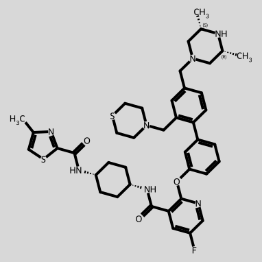 Cc1csc(C(=O)N[C@H]2CC[C@@H](NC(=O)c3cc(F)cnc3Oc3cccc(-c4ccc(CN5C[C@@H](C)N[C@@H](C)C5)cc4CN4CCSCC4)c3)CC2)n1